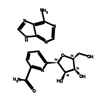 NC(=O)c1cccc([C@@H]2O[C@H](CO)[C@@H](O)[C@H]2O)n1.Nc1ncnc2[nH]cnc12